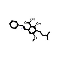 COc1cc(/C=C/c2ccccc2)c(C(=O)O)c(O)c1CCC(C)C